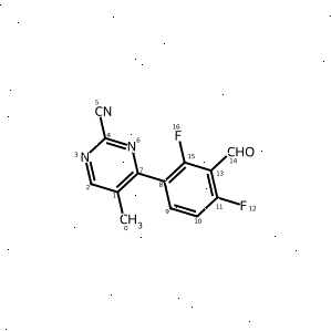 Cc1cnc(C#N)nc1-c1ccc(F)c(C=O)c1F